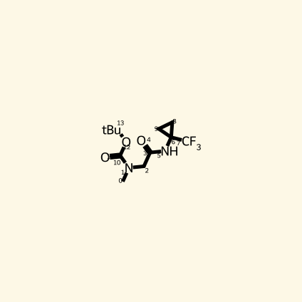 CN(CC(=O)NC1(C(F)(F)F)CC1)C(=O)OC(C)(C)C